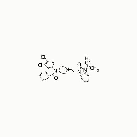 C=C(C)n1c(=O)n(CCN2CCC(N(C(=O)c3ccccc3)c3ccc(Cl)c(Cl)c3)CC2)c2ccccc21